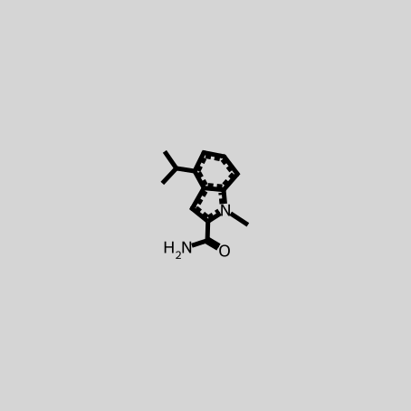 CC(C)c1cccc2c1cc(C(N)=O)n2C